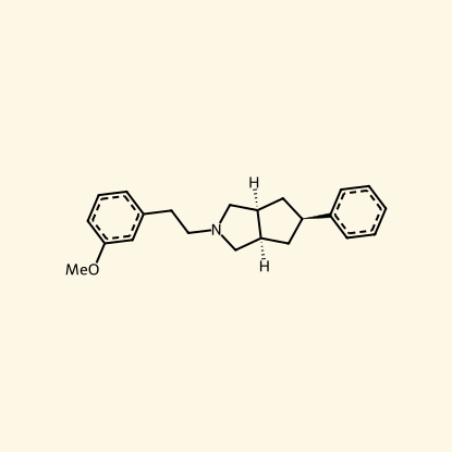 COc1cccc(CCN2C[C@H]3C[C@@H](c4ccccc4)C[C@H]3C2)c1